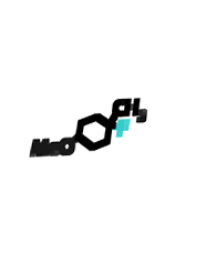 COC1CCC(C)(F)CC1